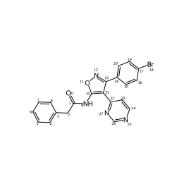 O=C(Cc1ccccc1)Nc1onc(-c2ccc(Br)cc2)c1-c1ccncn1